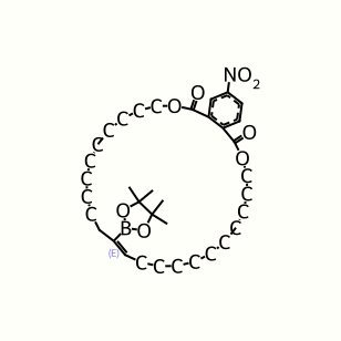 CC1(C)OB(/C2=C\CCCCCCCCCCOC(=O)c3ccc([N+](=O)[O-])cc3C(=O)OCCCCCCCCCC2)OC1(C)C